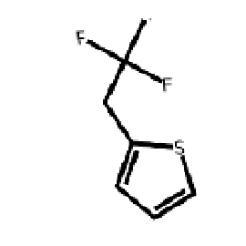 [CH2]C(F)(F)Cc1cccs1